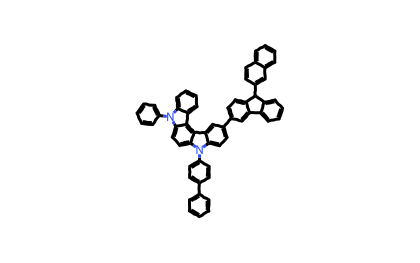 c1ccc(-c2ccc(-n3c4ccc(-c5ccc6c(c5)-c5ccccc5C6c5ccc6ccccc6c5)cc4c4c5c6ccccc6n(-c6ccccc6)c5ccc43)cc2)cc1